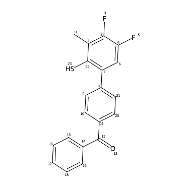 Cc1c(F)c(F)cc(-c2ccc(C(=O)c3ccccc3)cc2)c1S